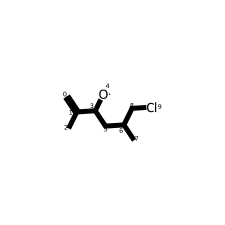 C=C(C)C([O])CC(C)CCl